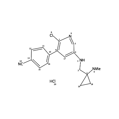 CNC1(CNc2cnc(Cl)c(-c3ccc(C#N)cc3)c2)CC1.Cl